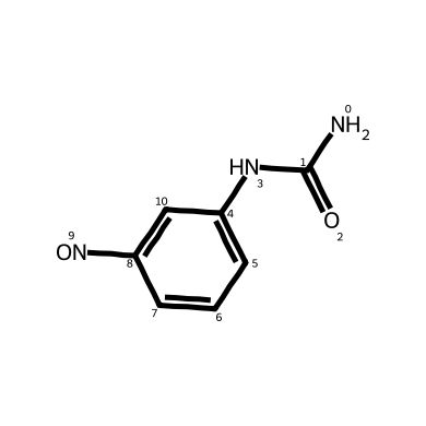 NC(=O)Nc1cccc(N=O)c1